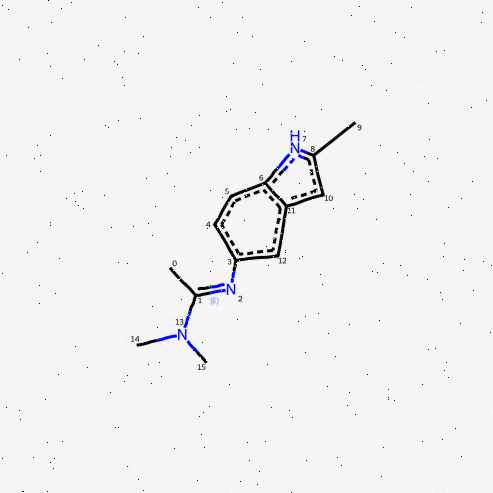 C/C(=N\c1ccc2[nH]c(C)cc2c1)N(C)C